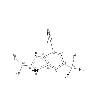 N#Cc1cc(C(F)(F)F)cc2[nH]c(C(F)F)nc12